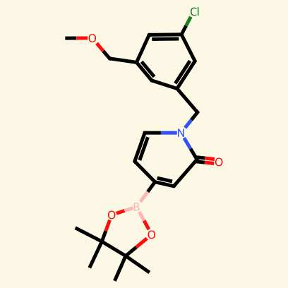 COCc1cc(Cl)cc(Cn2ccc(B3OC(C)(C)C(C)(C)O3)cc2=O)c1